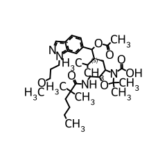 CCCCC(C)(C)C(=O)NCC1OC(C)(C)N(C(=O)O)C1C[C@@H](C(C)C)C(OC(C)=O)c1ccc2cnn(CCCOC)c2c1